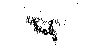 CC(C)(C)OC(=O)N1CCC(NC(=O)Nc2ccc(-c3cc4c(N5CCOCC5)ncnc4n3COCC[Si](C)(C)C)cc2)CC1